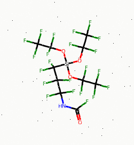 O=C(F)NC(F)(F)C(F)(F)C(F)(F)[Si](OC(F)(F)C(F)(F)F)(OC(F)(F)C(F)(F)F)OC(F)(F)C(F)(F)F